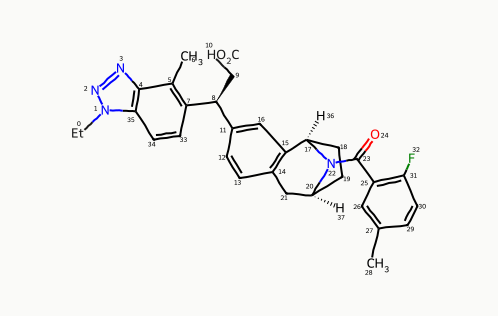 CCn1nnc2c(C)c([C@@H](CC(=O)O)c3ccc4c(c3)[C@H]3CC[C@@H](C4)N3C(=O)c3cc(C)ccc3F)ccc21